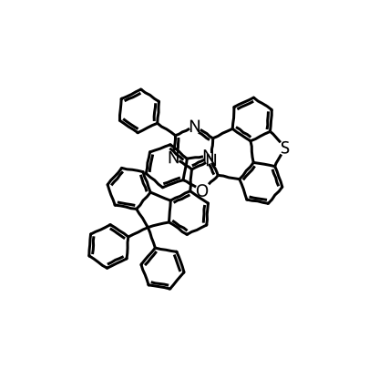 c1ccc(-c2nc(-c3cccc4c3-c3ccccc3C4(c3ccccc3)c3ccccc3)nc(-c3cccc4sc5cccc(-c6nc7ccccc7o6)c5c34)n2)cc1